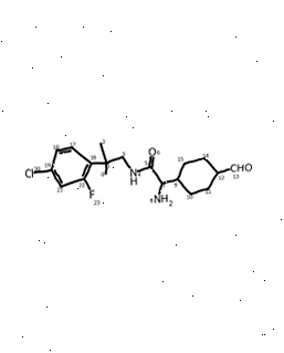 CC(C)(CNC(=O)C(N)C1CCC(C=O)CC1)c1ccc(Cl)cc1F